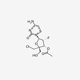 CC(=O)O[C@H]1[C@@H](F)[C@H](n2ccc(N)nc2=O)O[C@@]1(CO)CCl